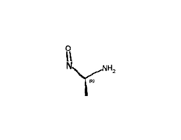 C[C@H](N)N=O